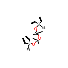 C=C[Si](C=C)(CC)O[Si](C)(C)O[Si](C)(C)O[Si](C=C)(C=C)CC